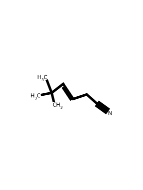 CC(C)(C)/C=C/CC#N